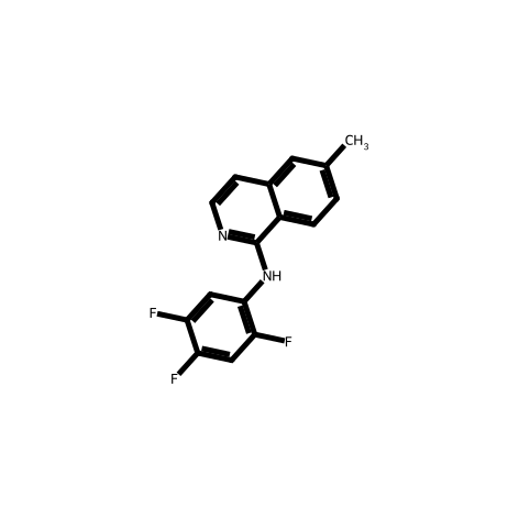 Cc1ccc2c(Nc3cc(F)c(F)cc3F)nccc2c1